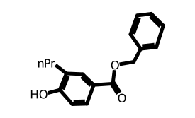 CCCc1cc(C(=O)OCc2ccccc2)ccc1O